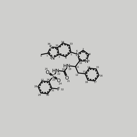 Cc1nc2cc(-n3ccnc3C(Cc3ccccc3)NC(=O)NS(=O)(=O)c3ccccc3F)ccc2s1